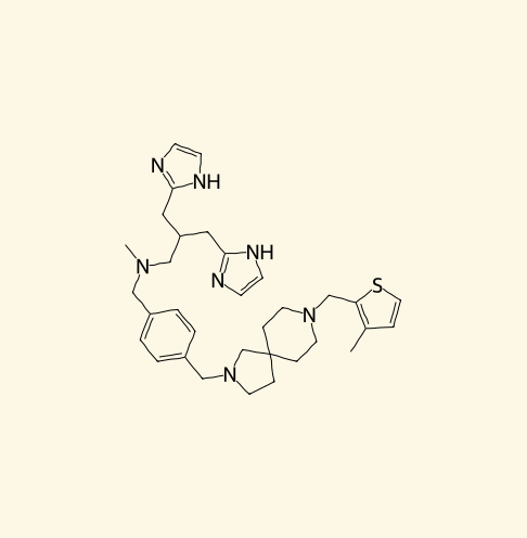 Cc1ccsc1CN1CCC2(CC1)CCN(Cc1ccc(CN(C)CC(Cc3ncc[nH]3)Cc3ncc[nH]3)cc1)C2